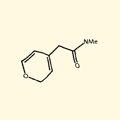 CNC(=O)CC1=CCOC=C1